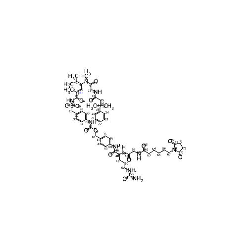 C/C(=C\C(C(C)C)N(C)C(=O)CNC(=O)CC(C)(C)c1ccccc1)C(=O)NS(=O)(=O)Cc1ccc(NC(=O)OCc2ccc(NC(=O)[C@H](CCCNC(N)=O)NC(=O)CNC(=O)CCCCCN3C(=O)CCC3=O)cc2)cc1